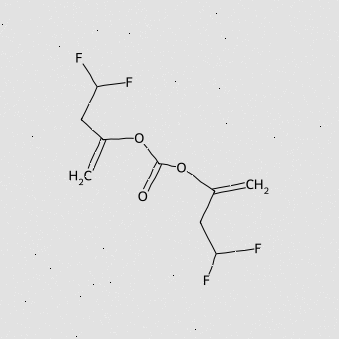 C=C(CC(F)F)OC(=O)OC(=C)CC(F)F